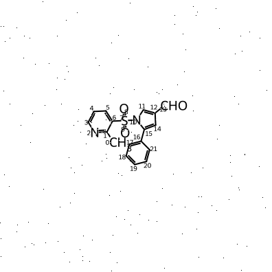 Cc1ncccc1S(=O)(=O)n1cc(C=O)cc1-c1ccccc1